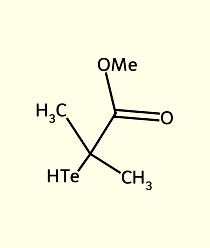 COC(=O)C(C)(C)[TeH]